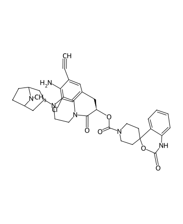 C#Cc1cc(C[C@@H](OC(=O)N2CCC3(CC2)OC(=O)Nc2ccccc23)C(=O)N2CCN(C3CC4CCC(C3)N4C)CC2)cc(Cl)c1N